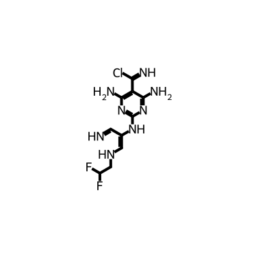 N=C/C(=C\NCC(F)F)Nc1nc(N)c(C(=N)Cl)c(N)n1